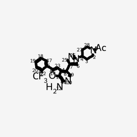 CC(=O)N1CCC(n2cc(-c3cnc(N)c4oc(-c5ccccc5C(F)(F)F)cc34)cn2)CC1